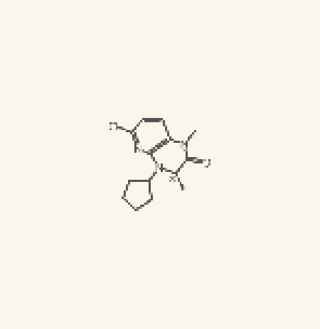 C[C@@H]1C(=O)N(C)c2ccc(Cl)nc2N1C1CCCC1